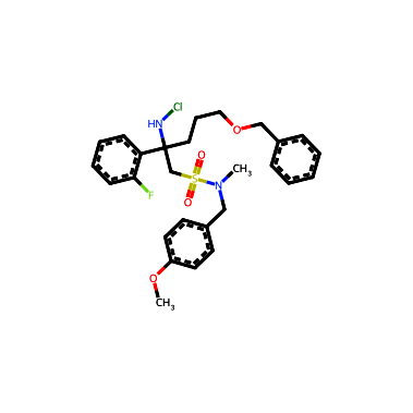 COc1ccc(CN(C)S(=O)(=O)CC(CCCOCc2ccccc2)(NCl)c2ccccc2F)cc1